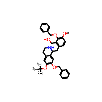 [2H]C([2H])([2H])Oc1cc2c(cc1OCc1ccccc1)C(Cc1ccc(OC)c(OCc3ccccc3)c1CO)NCC2